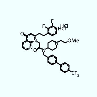 COCCN1CCC(N(Cc2ccc(-c3ccc(C(F)(F)F)cc3)cc2)C(=O)Cn2c(CCc3cccc(F)c3F)cc(=O)c3cccnc32)CC1.Cl.Cl